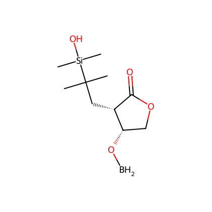 BO[C@H]1COC(=O)[C@H]1CC(C)(C)[Si](C)(C)O